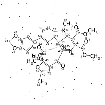 COC(=O)C1=C(C(=O)OC)C2N(C)c3ccc(-c4ccc5c(c4)OCO5)cc3[C@@]23C[C@@H](C(=O)OC)N(C(=O)c2cc(C)oc2C)C3=N1